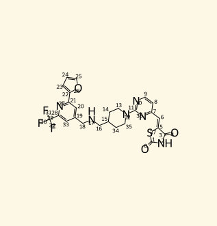 O=C1NC(=O)C(=Cc2ccnc(N3CCC(CNCc4cc(-c5ccco5)nc(C(F)(F)F)c4)CC3)n2)S1